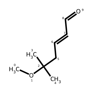 COC(C)(C)C/C=C/C=O